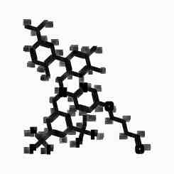 Cc1cc(CN(Cc2cc(C(F)(F)F)cc(C(F)(F)F)c2)c2ccc(OCCCC=O)cn2)c(-c2cc(C(C)C)ccc2C)cc1C